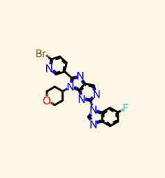 Fc1ccc2ncn(-c3ncc4nc(-c5ccc(Br)nc5)n(C5CCOCC5)c4n3)c2c1